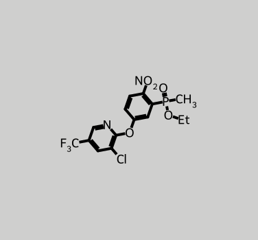 CCOP(C)(=O)c1cc(Oc2ncc(C(F)(F)F)cc2Cl)ccc1[N+](=O)[O-]